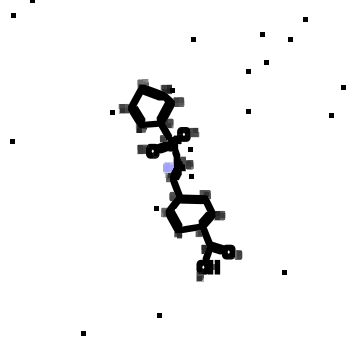 O=C(O)c1ccc(/C=N/S(=O)(=O)c2ccccc2)cc1